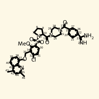 COc1c(S(=O)(=O)N2CCCC2C(=O)N2CCN(C(=O)c3ccc(C(=N)N)cc3)CC2)ccc(Cl)c1COc1cccc2c(C)cc(C)nc12